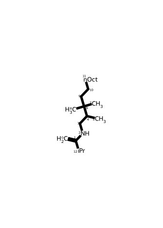 C=C(NCC(C)C(C)(C)CCCCCCCCCC)C(C)C